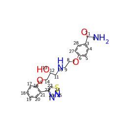 NC(=O)c1ccc(OCCNCC(O)COc2ccccc2-c2csnn2)cc1